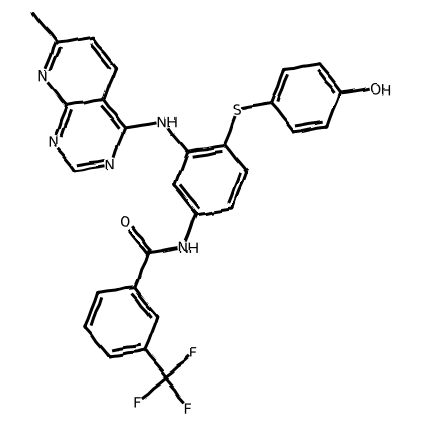 Cc1ccc2c(Nc3cc(NC(=O)c4cccc(C(F)(F)F)c4)ccc3Sc3ccc(O)cc3)ncnc2n1